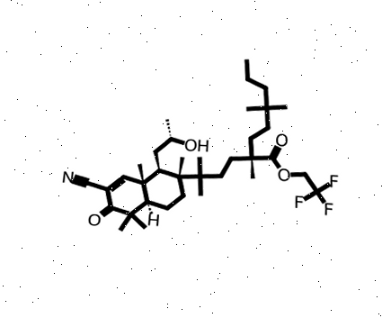 CCCC(C)(C)CC[C@@](C)(CCC(C)(C)[C@]1(C)CC[C@H]2C(C)(C)C(=O)C(C#N)=C[C@]2(C)[C@H]1C[C@H](C)O)C(=O)OCC(F)(F)F